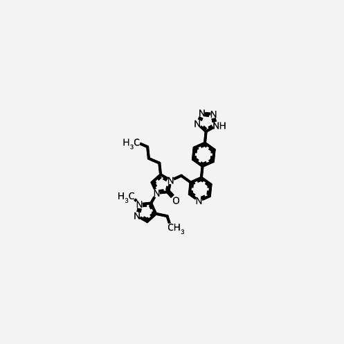 CCCCc1cn(-c2c(CC)cnn2C)c(=O)n1Cc1cnccc1-c1ccc(-c2nnn[nH]2)cc1